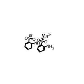 Nc1ccccc1S(=O)(=O)[O-].Nc1ccccc1S(=O)(=O)[O-].[Mg+2]